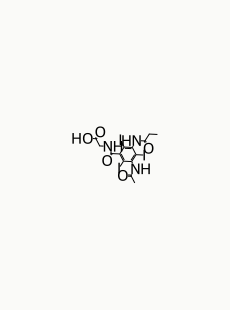 CCC(=O)Nc1c(I)c(NC(C)=O)c(I)c(C(=O)NCC(=O)O)c1I